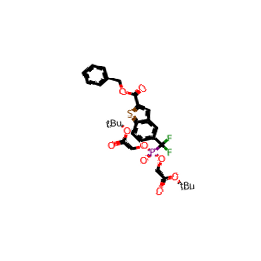 CC(C)(C)OC(=O)COP(=O)(OCC(=O)OC(C)(C)C)C(F)(F)c1ccc2sc(C(=O)OCc3ccccc3)cc2c1